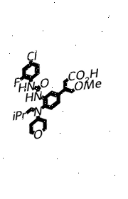 COCC(CC(=O)O)c1ccc(N(CC(C)C)C2CCOCC2)c(NC(=O)Nc2ccc(Cl)cc2F)c1